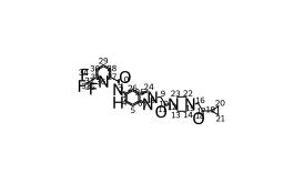 O=C(Nc1ccc2nn(CC(=O)N3CCN(CC(=O)C4CC4)CC3)cc2c1)c1cccc(C(F)(F)F)n1